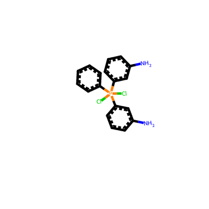 Nc1cccc(P(Cl)(Cl)(c2ccccc2)c2cccc(N)c2)c1